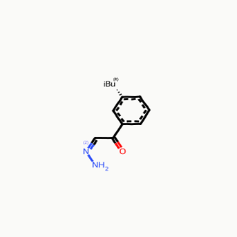 CC[C@@H](C)c1cccc(C(=O)/C=N\N)c1